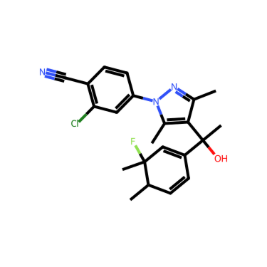 Cc1nn(-c2ccc(C#N)c(Cl)c2)c(C)c1C(C)(O)C1=CC(C)(F)C(C)C=C1